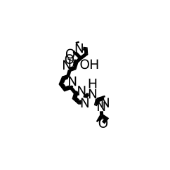 CN1CCC(O)(c2cc(-c3cccc(-c4ccnc(Nc5cnn(C6COC6)c5)n4)n3)no2)C1=O